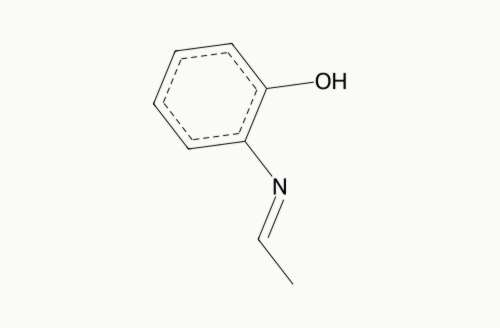 CC=Nc1ccccc1O